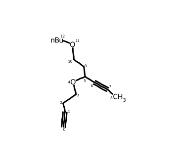 [C]#CCCOC(C#CC)CCOCCCC